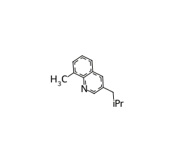 Cc1cccc2cc(CC(C)C)cnc12